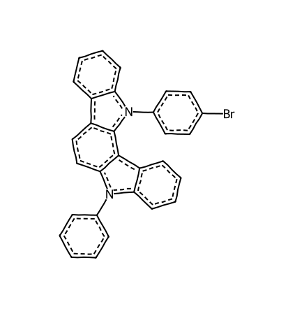 Brc1ccc(-n2c3ccccc3c3ccc4c(c5ccccc5n4-c4ccccc4)c32)cc1